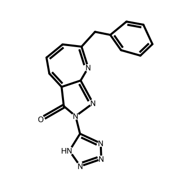 O=c1c2cccc(Cc3ccccc3)nc-2nn1-c1nnn[nH]1